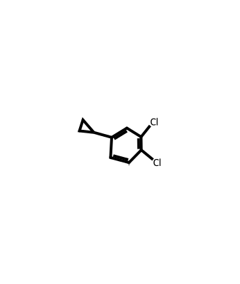 Clc1[c]cc(C2CC2)cc1Cl